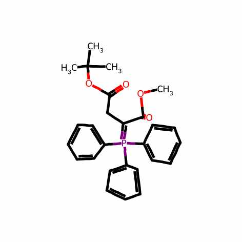 COC(=O)C(CC(=O)OC(C)(C)C)=P(c1ccccc1)(c1ccccc1)c1ccccc1